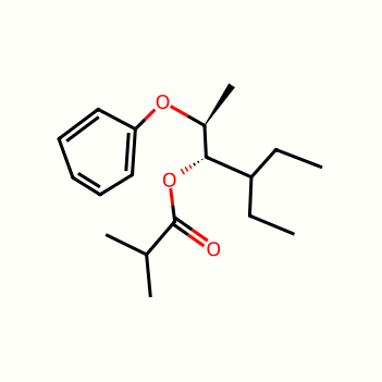 CCC(CC)[C@H](OC(=O)C(C)C)[C@H](C)Oc1ccccc1